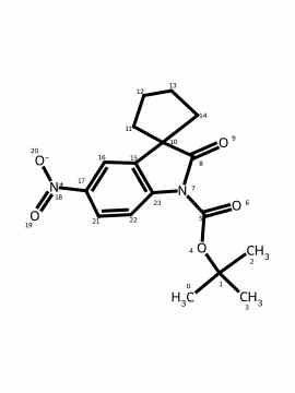 CC(C)(C)OC(=O)N1C(=O)C2(CCCC2)c2cc([N+](=O)[O-])ccc21